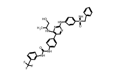 CC(CO)Nc1nc(Nc2ccc(S(=N)(=O)Cc3ccccc3)cc2)ncc1-c1ccc(NC(=O)Nc2cccc(C(F)(F)F)c2)cc1